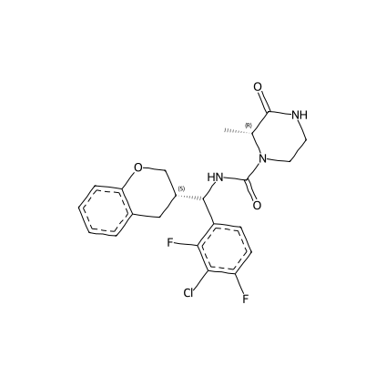 C[C@@H]1C(=O)NCCN1C(=O)NC(c1ccc(F)c(Cl)c1F)[C@H]1COc2ccccc2C1